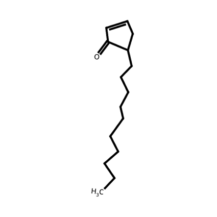 CCCCCCCCCCC1CC=CC1=O